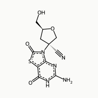 N#C[C@@]1(n2c(=O)sc3c(=O)[nH]c(N)nc32)CO[C@H](CO)C1